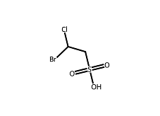 O=S(=O)(O)CC(Cl)Br